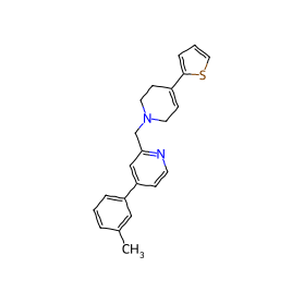 Cc1cccc(-c2ccnc(CN3CC=C(c4cccs4)CC3)c2)c1